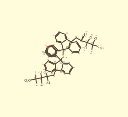 ClC(Cl)(Cl)C(Cl)(Cl)C(Cl)(Cl)C(Cl)(Cl)CCc1ccccc1C(OC(c1ccccc1)(c1ccccc1)c1ccccc1CCC(Cl)(Cl)C(Cl)(Cl)C(Cl)(Cl)C(Cl)(Cl)Cl)(c1ccccc1)c1ccccc1